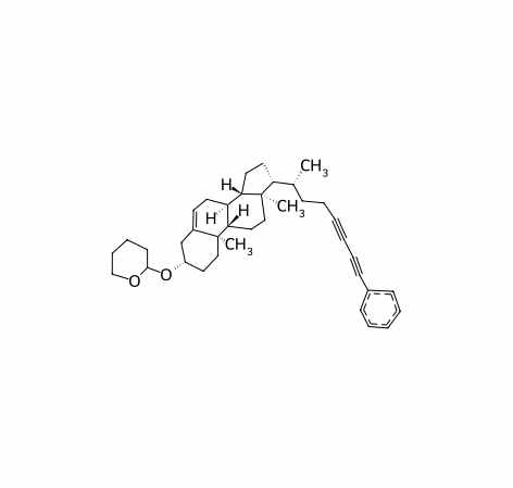 C[C@H](CCC#CC#Cc1ccccc1)[C@H]1CC[C@H]2[C@@H]3CC=C4C[C@@H](OC5CCCCO5)CC[C@]4(C)[C@H]3CC[C@]12C